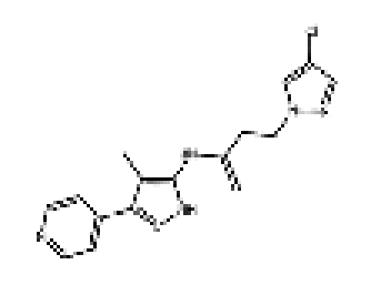 Cc1c(-c2ccncc2)n[nH]c1NC(=O)CCn1cc(Cl)cn1